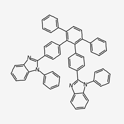 c1ccc(-c2ccc(-c3ccccc3)c(-c3ccc(-c4nc5ccccc5n4-c4ccccc4)cc3)c2-c2ccc(-c3nc4ccccc4n3-c3ccccc3)cc2)cc1